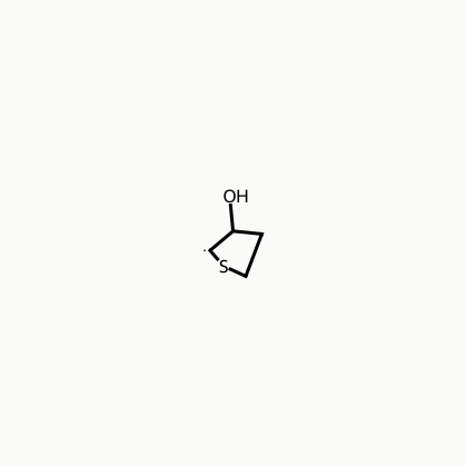 OC1[CH]SCC1